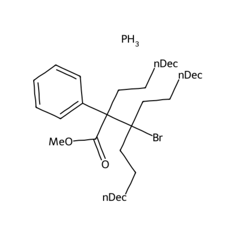 CCCCCCCCCCCCC(Br)(CCCCCCCCCCCC)C(CCCCCCCCCCCC)(C(=O)OC)c1ccccc1.P